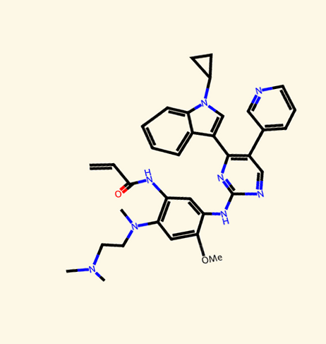 C=CC(=O)Nc1cc(Nc2ncc(-c3cccnc3)c(-c3cn(C4CC4)c4ccccc34)n2)c(OC)cc1N(C)CCN(C)C